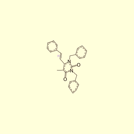 Cc1c(/C=C/c2ccccc2)n(Cc2ccccc2)c(=O)n(Cc2ccccc2)c1=O